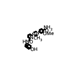 COc1cc(N2CCN(c3cccc(C(=O)NC4C5CC6CC4CC(O)(C6)C5)n3)[C@H](C)C2)ccc1C(N)=O